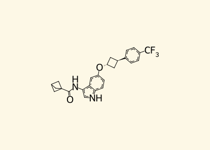 O=C(Nc1c[nH]c2ccc(O[C@H]3C[C@H](c4ccc(C(F)(F)F)cc4)C3)cc12)C12CC(C1)C2